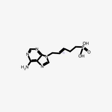 Nc1ncnc2c1ncn2C/C=C/CCP(=O)(O)O